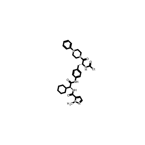 CCC(=O)N[C@H](Cc1ccc(NC(=O)[C@@H](NC(=O)c2ccnn2C)C2CCCCC2)cc1)C(=O)N1CCN(c2ccccc2)CC1